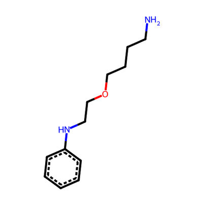 NCCCCOCCNc1ccccc1